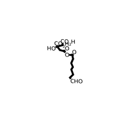 O=CCCCCCCC(=O)OC(=O)CC(O)(CC(=O)O)C(=O)O